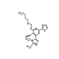 CCCCSCSc1nc(-c2nccs2)cc(-c2cnc(C)n2C)c1C#N